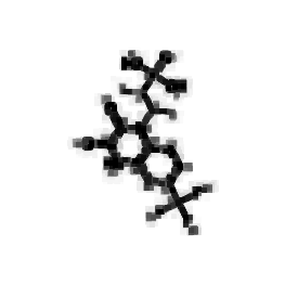 CC(C(C)P(=O)(O)O)n1c(=O)c(=O)[nH]c2cc(C(F)(F)F)ccc21